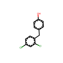 Oc1ccc(Cc2ccc(Cl)cc2Cl)cc1